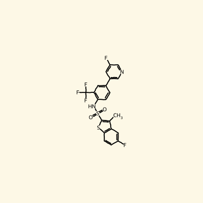 Cc1c(S(=O)(=O)Nc2ccc(-c3cncc(F)c3)cc2C(F)(F)F)sc2ccc(F)cc12